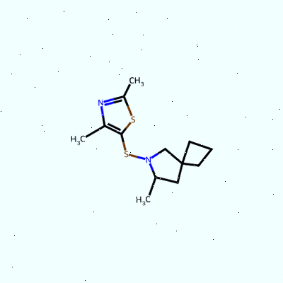 Cc1nc(C)c(SN2CC3(CCC3)CC2C)s1